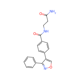 NC(=O)CCNC(=O)c1ccc(-c2conc2-c2ccccc2)cc1